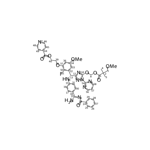 COCC(C)(C)C(=O)OCOc1nc([C@H](Nc2ccc(/C(N)=N/C(=O)c3ccccc3)cc2)c2cc(OC)cc(OCCOC(=O)c3ccncc3)c2F)nn1-c1ncccn1